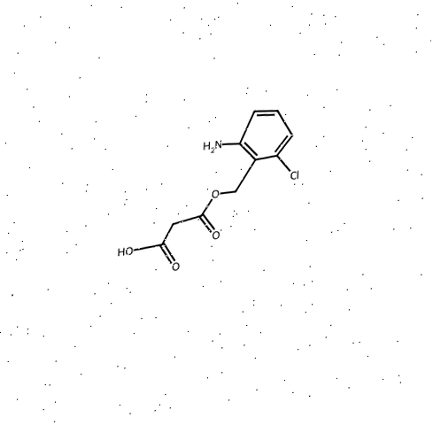 Nc1cccc(Cl)c1COC(=O)CC(=O)O